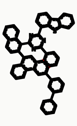 c1ccc(-c2cccc(-c3ccc4cc(-c5ccc6ccccc6c5-c5nc(-c6ccccc6)nc(-c6cccc7c6sc6ccccc67)n5)c5ccccc5c4c3)c2)cc1